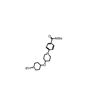 CNC(=O)c1ccc(N2CCC(OC3CCN(C(C)C)CC3)CC2)cc1